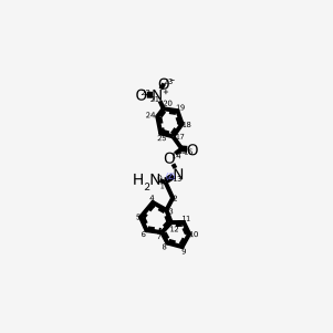 N/C(Cc1cccc2ccccc12)=N\OC(=O)c1ccc([N+](=O)[O-])cc1